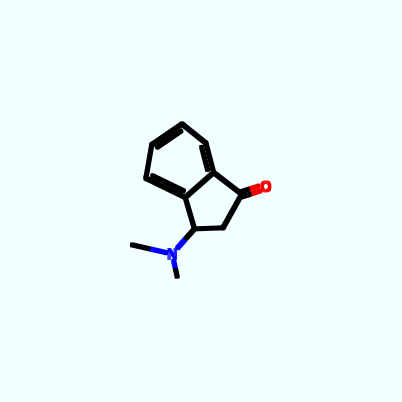 CN(C)C1CC(=O)c2ccccc21